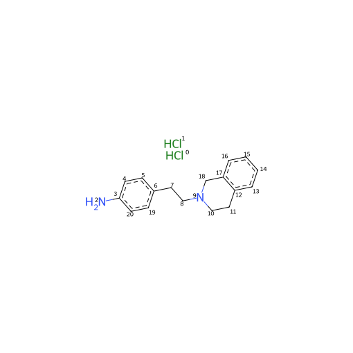 Cl.Cl.Nc1ccc(CCN2CCc3ccccc3C2)cc1